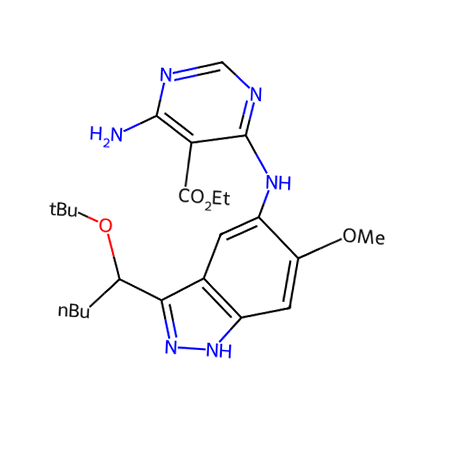 CCCCC(OC(C)(C)C)c1n[nH]c2cc(OC)c(Nc3ncnc(N)c3C(=O)OCC)cc12